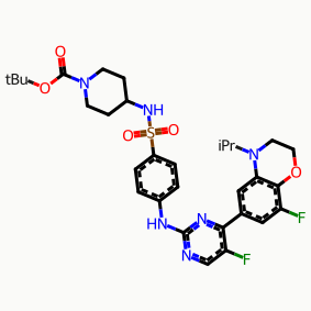 CC(C)N1CCOc2c(F)cc(-c3nc(Nc4ccc(S(=O)(=O)NC5CCN(C(=O)OC(C)(C)C)CC5)cc4)ncc3F)cc21